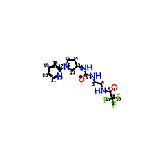 O=C(NCCNC(=O)C(F)(F)F)N[C@@H]1CCN(c2ccccn2)C1